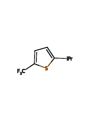 CC(C)c1ccc(C(F)(F)F)s1